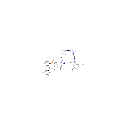 C1=Cc2cc3ccc(cc4nc(cc5ccc(cc1n2)[nH]5)C=C4)[nH]3.CC(C)Cc1ccc(C(C)C(=O)O)cc1.Cc1cc(C)cc(C2=C(C(=O)O)N(c3ccccc3C(F)(F)F)S(=O)(=O)c3ccccc32)c1